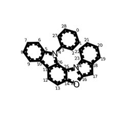 c1ccc(-n2c3ccccc3c3ccc4oc5cc6ccccc6n5c4c32)cc1